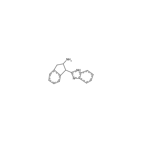 NC1Cc2ccccc2C1c1nc2ccccc2[nH]1